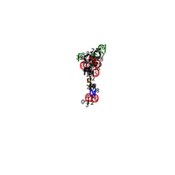 CC(C)(C)OC(=O)N1CC[C@@H](SCC[C@@H]2OCC[C@@]3(S(=O)(=O)c4ccc(Cl)cc4)c4c(F)ccc(F)c4OC[C@@H]23)C1